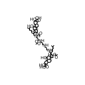 CC(=O)OC(CCNCCCNCC(CCC=C(C)C)=C1[C@@H](OC(C)=O)C[C@@]2(C)[C@@H]1C[C@@H](O)C1[C@@]3(C)CC[C@](O)(C(=O)O)[C@@H](C)C3CC[C@@]12C)NCCCNCC(CCC=C(C)C)=C1[C@@H](OC(C)=O)C[C@@]2(C)[C@@H]1C[C@@H](O)C1[C@@]3(C)CC[C@](O)(C(=O)O)[C@@H](C)C3CC[C@@]12C